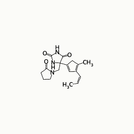 C/C=C\C1=C(C)CC(C2(CN3CCCC3=O)NC(=O)NC2=O)=C1